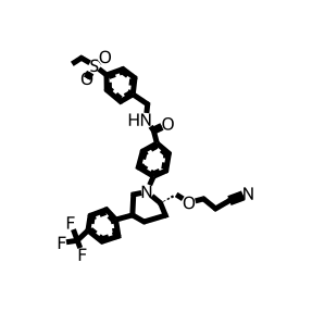 CCS(=O)(=O)c1ccc(CNC(=O)c2ccc(N3CC(c4ccc(C(F)(F)F)cc4)CC[C@H]3COCCC#N)cc2)cc1